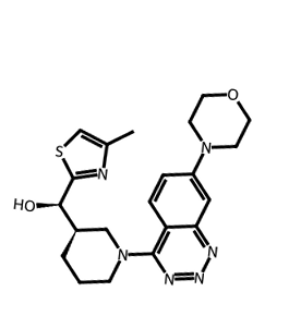 Cc1csc([C@H](O)[C@@H]2CCCN(c3nnnc4cc(N5CCOCC5)ccc34)C2)n1